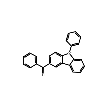 O=C(c1ccccc1)c1ccc2c(c1)c1ccccc1[s+]2-c1ccccc1